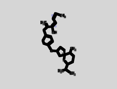 C=C(CC1=CC=C(OC2CC[C@]3(C2)SC(C(C)C)CCC3C)CC1)/C(O)=C\C=C/C